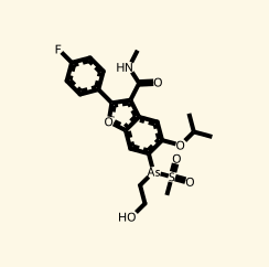 CNC(=O)c1c(-c2ccc(F)cc2)oc2cc([As](CCO)S(C)(=O)=O)c(OC(C)C)cc12